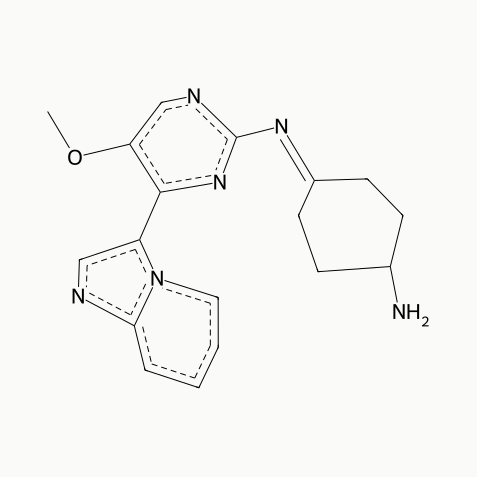 COc1cnc(N=C2CCC(N)CC2)nc1-c1cnc2ccccn12